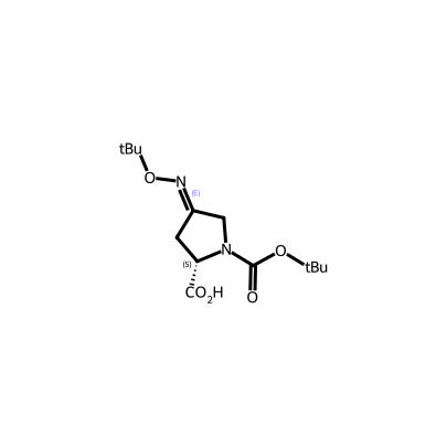 CC(C)(C)O/N=C1\C[C@@H](C(=O)O)N(C(=O)OC(C)(C)C)C1